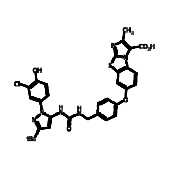 Cc1nc2sc3cc(Oc4ccc(CNC(=O)Nc5cc(C(C)(C)C)nn5-c5ccc(O)c(Cl)c5)cc4)ccc3n2c1C(=O)O